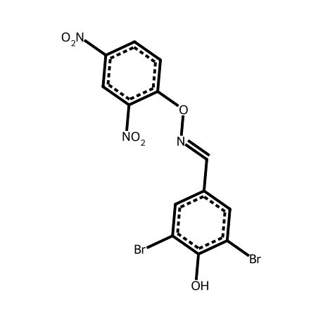 O=[N+]([O-])c1ccc(ON=Cc2cc(Br)c(O)c(Br)c2)c([N+](=O)[O-])c1